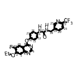 CCOc1cc2ncnc(Oc3ccc(NC(=O)NCc4ccc(C(F)(F)F)nc4)cc3)c2cc1F